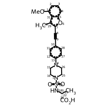 COc1cccc2oc(C#Cc3ccc(N4CCN(S(=O)(=O)N[C@H](C)C(=O)O)CC4)cc3)c(C)c12